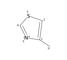 CC1=CSC=[N+]1